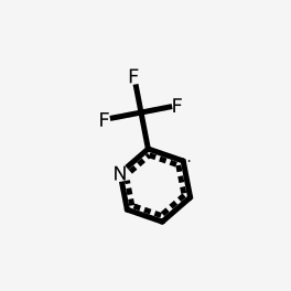 FC(F)(F)c1[c]cccn1